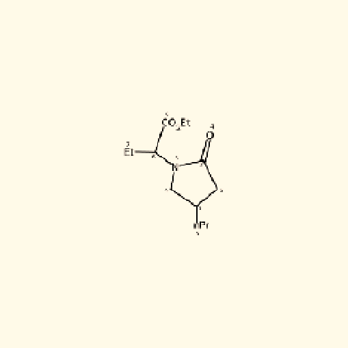 CCCC1CC(=O)N(C(CC)C(=O)OCC)C1